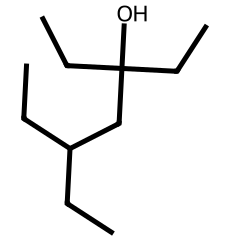 CCC(CC)CC(O)(CC)CC